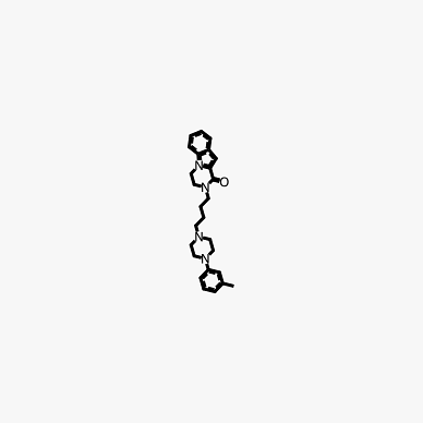 Cc1cccc(N2CCN(CCCCN3CCn4c(cc5ccccc54)C3=O)CC2)c1